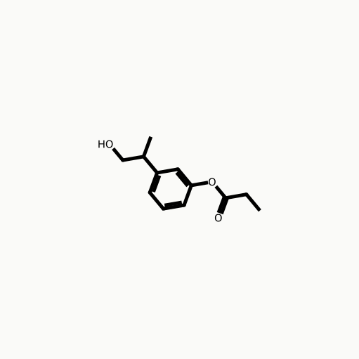 CCC(=O)Oc1cccc(C(C)CO)c1